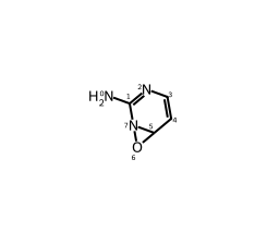 NC1=NC=CC2ON12